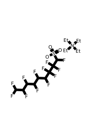 CC[N+](CC)(CC)CC.O=S(=O)([O-])C(F)C(F)(F)C(F)(F)C(F)C(F)C(F)C(F)C(F)C(F)F